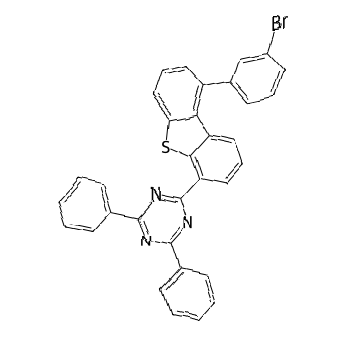 Brc1cccc(-c2cccc3sc4c(-c5nc(-c6ccccc6)nc(-c6ccccc6)n5)cccc4c23)c1